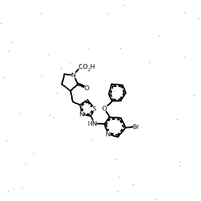 O=C(O)N1CCC(Cc2csc(Nc3ncc(Br)cc3Oc3ccccc3)n2)C1=O